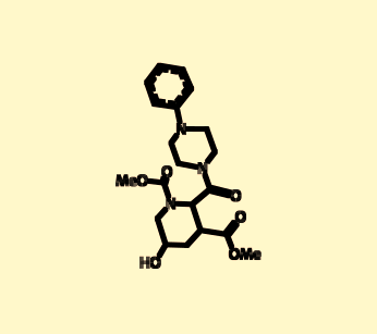 COC(=O)C1CC(O)CN(C(=O)OC)C1C(=O)N1CCN(c2ccccc2)CC1